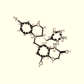 O=C1COc2c(Cl)cc(CN3c4ccc(F)cc4OC[C@@H]3Cc3nn[nH]n3)cc2N1